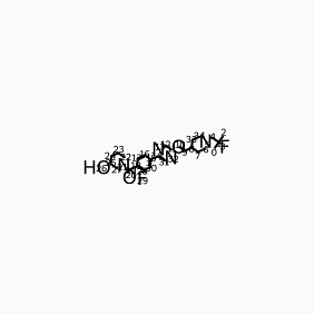 CC(C)(F)CN1CCC(COc2cnc(-c3ccc(C(=O)N4CCC[C@H](O)C4)c(F)c3)cn2)CC1